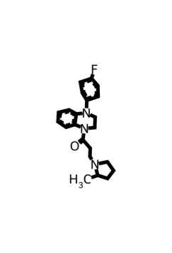 CC1CCCN1CCC(=O)N1CCN(c2ccc(F)cc2)c2ccccc21